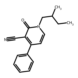 CCC(C)Cn1ccc(-c2ccccc2)c(C#N)c1=O